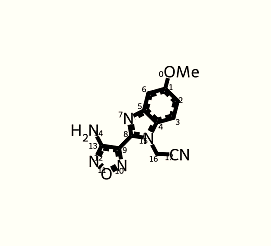 COc1ccc2c(c1)nc(-c1nonc1N)n2CC#N